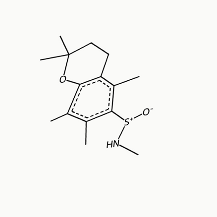 CN[S+]([O-])c1c(C)c(C)c2c(c1C)CCC(C)(C)O2